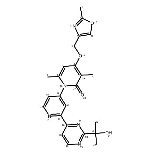 Cc1nc(COc2cc(C)n(-c3ccnc(-c4ccnc(C(C)(C)O)n4)c3)c(=O)c2C)co1